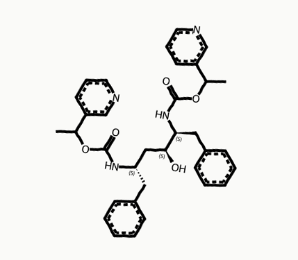 CC(OC(=O)N[C@@H](Cc1ccccc1)C[C@H](O)[C@H](Cc1ccccc1)NC(=O)OC(C)c1cccnc1)c1cccnc1